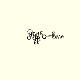 CCc1cc(C(=O)N2CCCCC[C@H]2C)nc2cc(-c3ccc(C#CC(=O)OC)cc3F)nn12